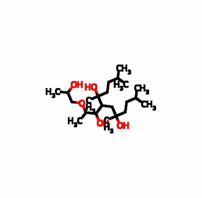 CC(C)CCC(C)(O)CC(C(O)C(C)OCC(C)O)C(C)(O)CCC(C)C